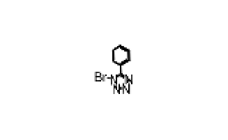 Brn1nnnc1-c1ccccc1